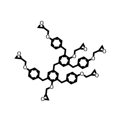 c1cc(OCC2CO2)ccc1Cc1cc(Cc2cc(Cc3ccc(OCC4CO4)cc3)c(OCC3CO3)c(Cc3ccc(OCC4CO4)cc3)c2)cc(Cc2ccc(OCC3CO3)cc2)c1OCC1CO1